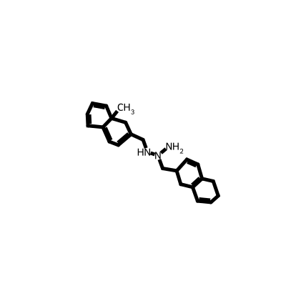 CC12C=CC=CC1=CC=C(CNN(N)CC1C=CC3=C(C=CCC3)C1)C2